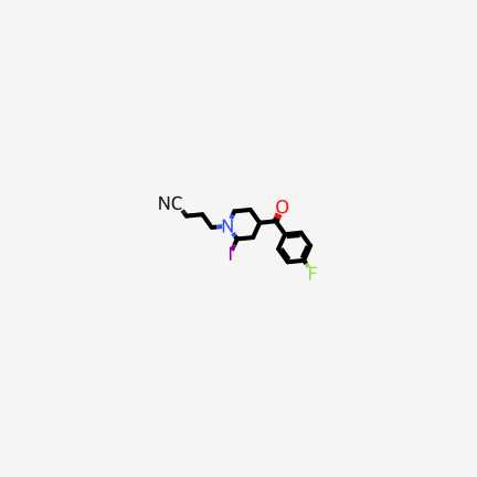 N#CCCCN1CCC(C(=O)c2ccc(F)cc2)CC1I